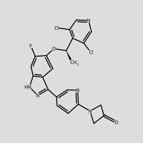 C[C@@H](Oc1cc2c(-c3ccc(N4CC(=O)C4)nc3)n[nH]c2cc1F)c1c(Cl)cncc1Cl